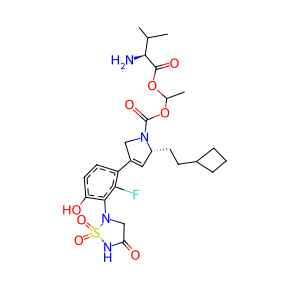 CC(OC(=O)[C@@H](N)C(C)C)OC(=O)N1CC(c2ccc(O)c(N3CC(=O)NS3(=O)=O)c2F)=C[C@H]1CCC1CCC1